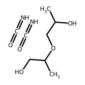 CC(O)COC(C)CO.N=C=O.N=C=O